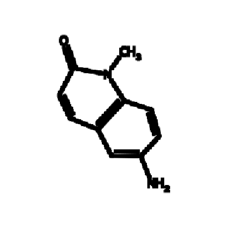 Cn1c(=O)ccc2cc(N)ccc21